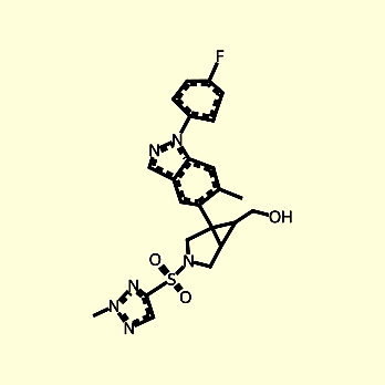 Cc1cc2c(cnn2-c2ccc(F)cc2)cc1C12CN(S(=O)(=O)c3cnn(C)n3)CC1C2CO